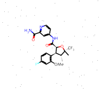 COc1cc(F)ccc1[C@H]1[C@@H](C(=O)Nc2ccnc(C(N)=O)c2)O[C@](C)(C(F)(F)F)[C@@H]1C